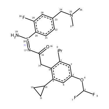 CC(C)c1cc(OC(F)F)cc(C2CC2)c1CC(=O)/N=S(/N)c1ccc(CN(C)C)cc1F